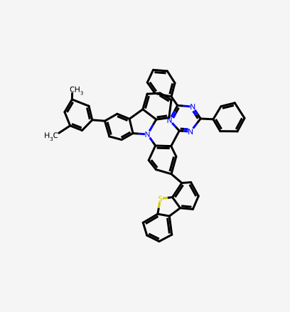 Cc1cc(C)cc(-c2ccc3c(c2)c2ccccc2n3-c2ccc(-c3cccc4c3sc3ccccc34)cc2-c2nc(-c3ccccc3)nc(-c3ccccc3)n2)c1